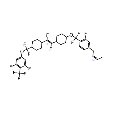 C/C=C\Cc1ccc(C(F)(F)OC2CCC(/C(F)=C(\F)C3CCC(C(F)(F)Oc4cc(F)c(C(F)(F)F)c(F)c4)CC3)CC2)c(F)c1